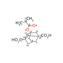 C=C(C)C(=O)OC12CC3CC(C(=O)O)(C1)CC(C(=O)O)(C3)C2